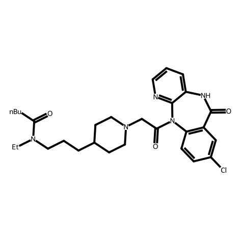 CCCCC(=O)N(CC)CCCC1CCN(CC(=O)N2c3ccc(Cl)cc3C(=O)Nc3cccnc32)CC1